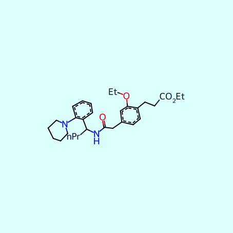 CCCC(NC(=O)Cc1ccc(CCC(=O)OCC)c(OCC)c1)c1ccccc1N1CCCCC1